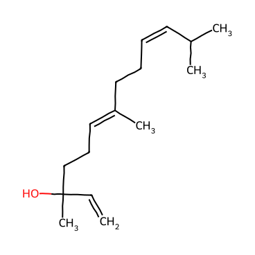 C=CC(C)(O)CC/C=C(\C)CC/C=C\C(C)C